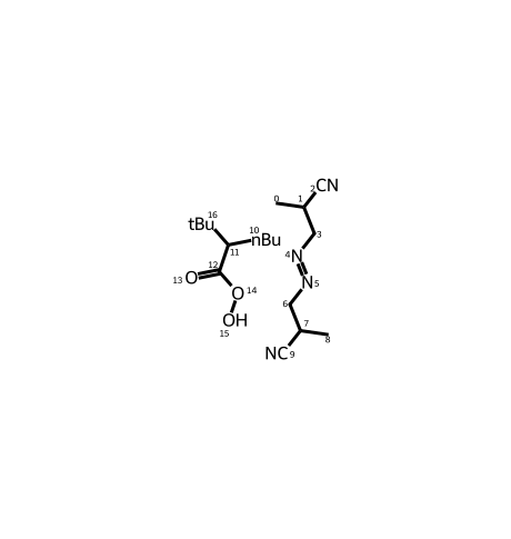 CC(C#N)CN=NCC(C)C#N.CCCCC(C(=O)OO)C(C)(C)C